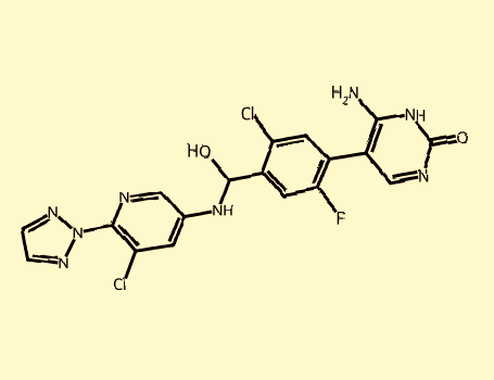 Nc1[nH]c(=O)ncc1-c1cc(Cl)c(C(O)Nc2cnc(-n3nccn3)c(Cl)c2)cc1F